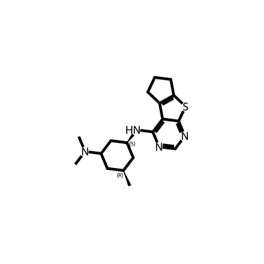 C[C@H]1CC(N(C)C)C[C@@H](Nc2ncnc3sc4c(c23)CCC4)C1